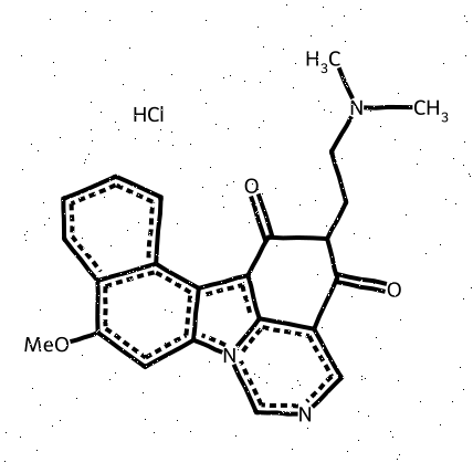 COc1cc2c(c3c4c(cncn42)C(=O)C(CCN(C)C)C3=O)c2ccccc12.Cl